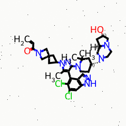 C=CC(=O)N1CC2(CC(n3nc(N4CC[C@@H](CN5CCN6C[C@@H](O)C[C@@H]6C5)CC4(C)C)c(-c4c(Cl)c(Cl)cc5[nH]ncc45)c3C)C2)C1